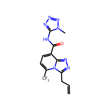 C=CCc1nnc2c(C(=O)Nc3nnnn3C)ccc(C(F)(F)F)n12